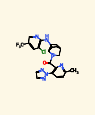 Cc1ccc(-n2nccn2)c(C(=O)N2CC3CCC2C(Nc2ncc(C(F)(F)F)cc2Cl)C3)n1